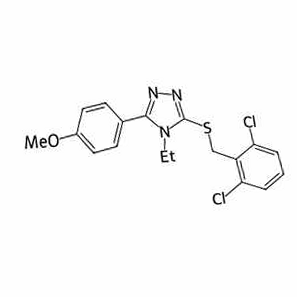 CCn1c(SCc2c(Cl)cccc2Cl)nnc1-c1ccc(OC)cc1